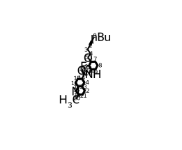 CCCCC#CCCOc1cccc(NC(=O)c2ccc3nc(C)ccc3c2)c1F